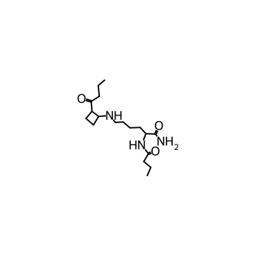 CCCC(=O)NC(CCCCNC1CCC1C(=O)CCC)C(N)=O